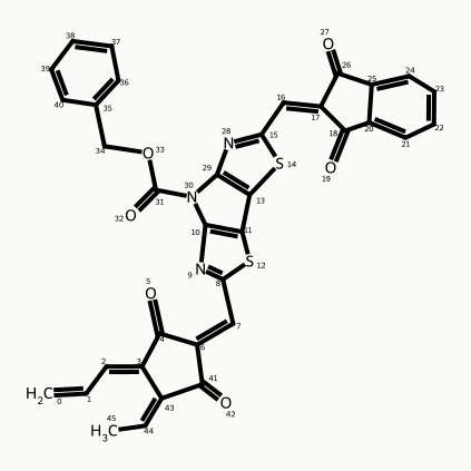 C=C/C=C1/C(=O)/C(=C\c2nc3c(s2)c2sc(C=C4C(=O)c5ccccc5C4=O)nc2n3C(=O)OCc2ccccc2)C(=O)/C1=C/C